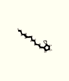 CCCCCCCCCCCC1CCCC1=O